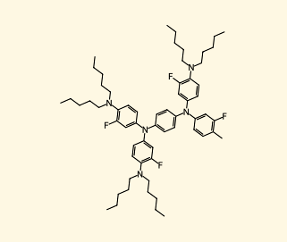 CCCCCN(CCCCC)c1ccc(N(c2ccc(N(c3ccc(N(CCCCC)CCCCC)c(F)c3)c3ccc(N(CCCCC)CCCCC)c(F)c3)cc2)c2ccc(C)c(F)c2)cc1F